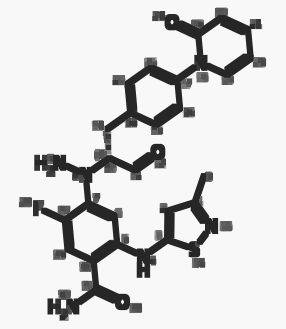 Cc1cc(Nc2cc(N(N)[C@@H](C=O)Cc3ccc(-n4ccccc4=O)cc3)c(F)cc2C(N)=O)sn1